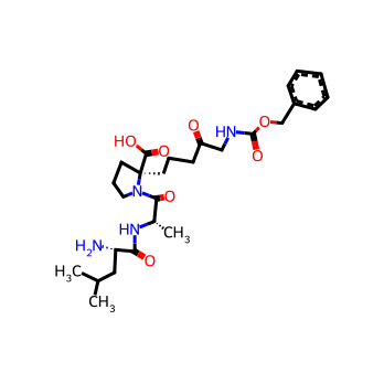 CC(C)C[C@H](N)C(=O)N[C@@H](C)C(=O)N1CCC[C@@]1(CCCC(=O)CNC(=O)OCc1ccccc1)C(=O)O